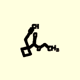 C#CCC1(C(=O)OCC)CCC1